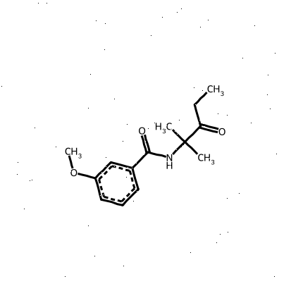 CCC(=O)C(C)(C)NC(=O)c1cccc(OC)c1